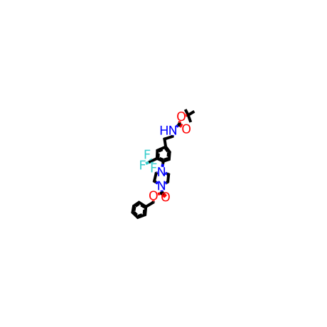 CC(C)(C)OC(=O)NCCc1ccc(N2CCN(C(=O)OCc3ccccc3)CC2)c(C(F)(F)F)c1